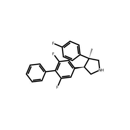 C[C@]1(c2ccc(F)cc2)CNC[C@H]1c1cc(F)c(-c2ccccc2)c(F)c1